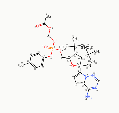 CC(C)(C)C(=O)OCOP(=O)(OC[C@@H]1O[C@@](C#N)(c2ccc3c(N)ncnn23)[C@@H](C(C)(C)C(=O)O)[C@@H]1C(C)(C)C(=O)O)Oc1ccc(C(C)(C)C)cc1